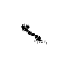 CCC(C)n1ncn(-c2ccc(N3CCN(c4ccc(OC[C@@H]5CO[C@@](Cn6nccn6)(c6cc(Cl)ccc6C)O5)cc4)CC3)cc2)c1=O